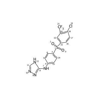 O=S(=O)(c1ccc(Nc2nnc[nH]2)cc1)c1ccc(Cl)c(C(F)(F)F)c1